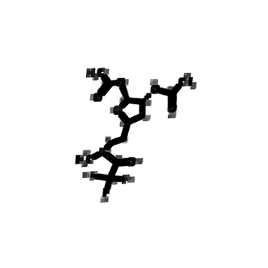 CC(=O)O[C@@H]1OC(CCN(C)C(=O)C(F)(F)F)C[C@H]1OC(C)=O